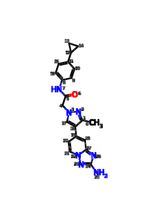 Cc1nn(CC(=O)Nc2ccc(C3CC3)cc2)cc1-c1ccn2nc(N)nc2c1